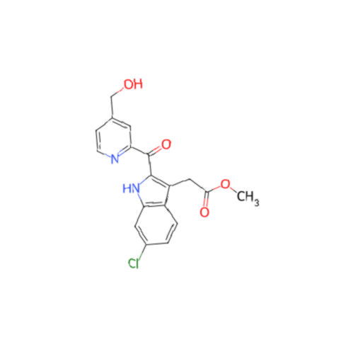 COC(=O)Cc1c(C(=O)c2cc(CO)ccn2)[nH]c2cc(Cl)ccc12